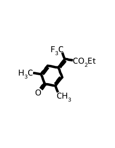 CCOC(=O)C(=C1C=C(C)C(=O)C(C)=C1)C(F)(F)F